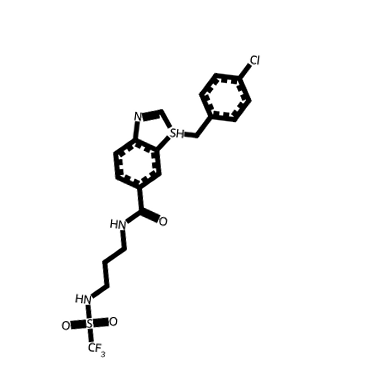 O=C(NCCCNS(=O)(=O)C(F)(F)F)c1ccc2c(c1)[SH](Cc1ccc(Cl)cc1)C=N2